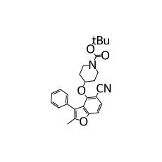 Cc1oc2ccc(C#N)c(OC3CCN(C(=O)OC(C)(C)C)CC3)c2c1-c1ccccc1